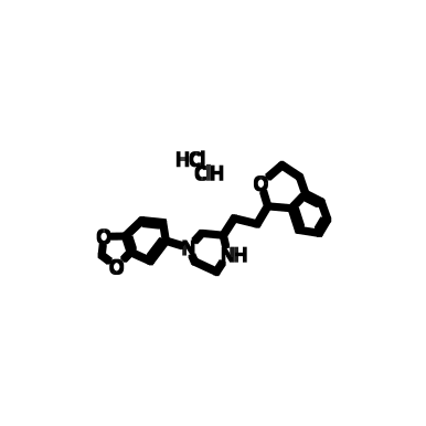 Cl.Cl.c1ccc2c(c1)CCOC2CCC1CN(c2ccc3c(c2)OCO3)CCN1